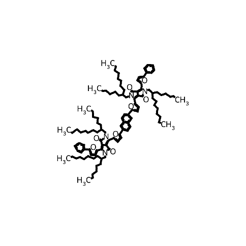 CCCCCCCCC(CCCCCC)CN1C(=O)C2=C(c3ccc(-c4ccc5cc(-c6ccc(C7=C8C(=O)N(CC(CCCCCC)CCCCCCCC)C(c9ccc(-c%10ccccc%10)o9)=C8C(=O)N7CC(CCCCCC)CCCCCCCC)o6)ccc5c4)o3)N(CC(CCCCCC)CCCCCCCC)C(=O)C2=C1c1ccc(-c2ccccc2)o1